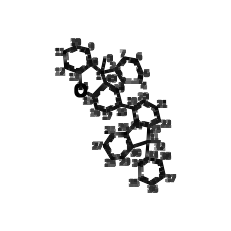 CC1(c2ccccc2)c2ccccc2Oc2ccc(-c3cccc4c3-c3ccccc3C4(C)c3ccccc3)cc21